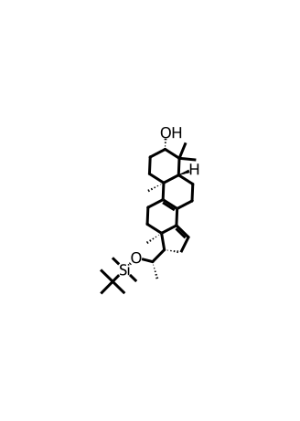 C[C@H](O[Si](C)(C)C(C)(C)C)[C@H]1CC=C2C3=C(CC[C@@]21C)[C@@]1(C)CC[C@H](O)C(C)(C)[C@@H]1CC3